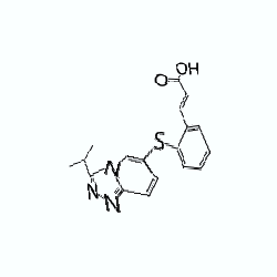 CC(C)c1nnc2ccc(Sc3ccccc3/C=C/C(=O)O)cn12